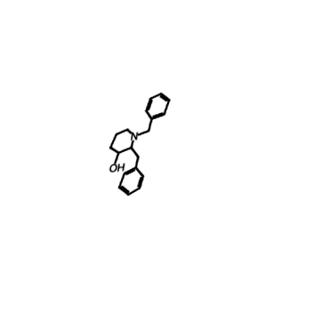 OC1CCCN(Cc2ccccc2)C1Cc1ccccc1